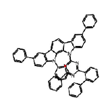 c1ccc(-c2ccc3c(c2)c2ccc4c5cc(-c6ccccc6)ccc5n(-c5nc(-c6ccccc6)nc(-c6ccccc6-c6ccccc6)n5)c4c2n3-c2ccccc2)cc1